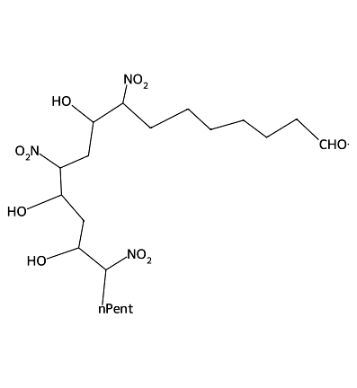 CCCCCC(C(O)CC(O)C(CC(O)C(CCCCCC[C]=O)[N+](=O)[O-])[N+](=O)[O-])[N+](=O)[O-]